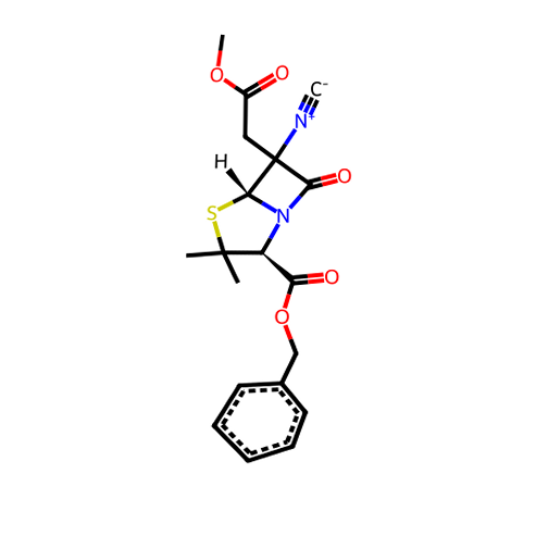 [C-]#[N+]C1(CC(=O)OC)C(=O)N2[C@@H](C(=O)OCc3ccccc3)C(C)(C)S[C@@H]21